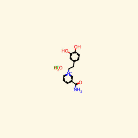 NC(=O)c1ccc[n+](CCc2ccc(O)c(O)c2)c1.O.[Cl-]